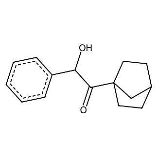 O=C(C(O)c1ccccc1)C12CCC(CC1)C2